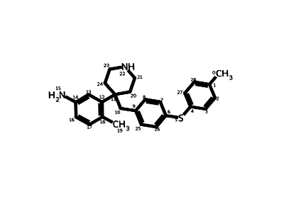 Cc1ccc(Sc2ccc(CC3(c4cc(N)ccc4C)CCNCC3)cc2)cc1